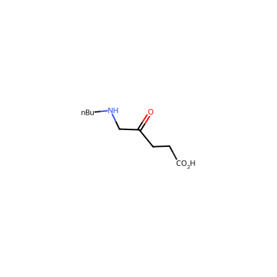 CCCCNCC(=O)CCC(=O)O